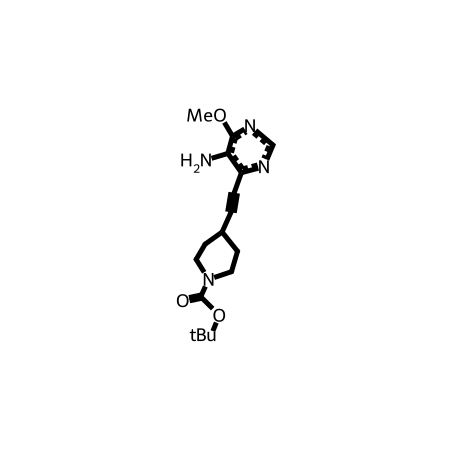 COc1ncnc(C#CC2CCN(C(=O)OC(C)(C)C)CC2)c1N